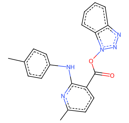 Cc1ccc(Nc2nc(C)ccc2C(=O)On2nnc3ccccc32)cc1